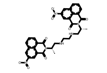 C[C@H](CNCCNC[C@H](C)N1C(=O)c2cccc3cc([N+](=O)[O-])cc(c23)C1=O)N1C(=O)c2cccc3cc([N+](=O)[O-])cc(c23)C1=O